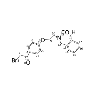 O=C(CBr)c1ccc(OCCN(Cc2ccccc2)C(=O)O)cc1